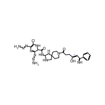 N=C(/C=C(\O)CCC(=O)N1CCC2(CC1)CNC(NC(=O)C1NC(Cl)=C(N=NN)N=C1N=NN)N2)c1ccccc1